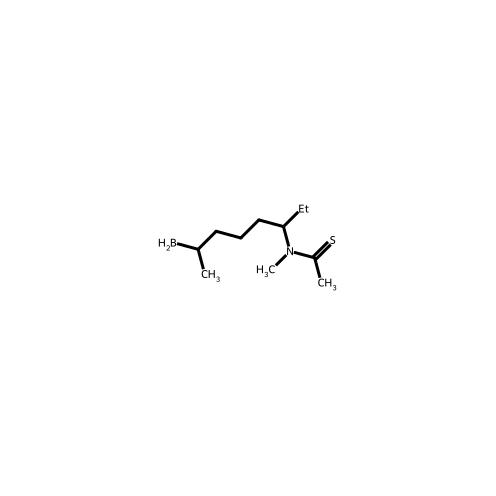 BC(C)CCCC(CC)N(C)C(C)=S